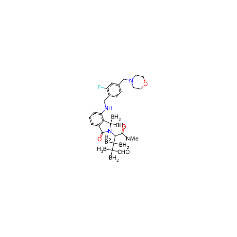 BC1(B)c2c(NCc3ccc(CN4CCOCC4)cc3F)cccc2C(=O)N1C(C(=O)NC)C(B)(B)C(B)(B)C=O